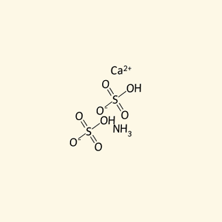 N.O=S(=O)([O-])O.O=S(=O)([O-])O.[Ca+2]